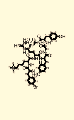 CC(C)C(NC(=O)C(Cc1ccc(O)cc1)NC(=O)CNC(=O)C(Cc1ccc(O)cc1)NC(=O)C(CCCNC(=N)N)NC(=O)C(CCCC[N+](C)(C)C)NC(=O)C(N)Cc1ccc(Br)cc1)C(=O)O